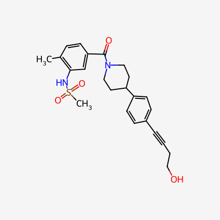 Cc1ccc(C(=O)N2CCC(c3ccc(C#CCCO)cc3)CC2)cc1NS(C)(=O)=O